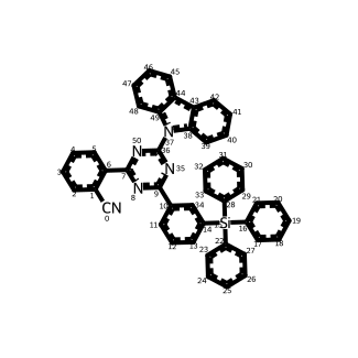 N#Cc1ccccc1-c1nc(-c2cccc([Si](c3ccccc3)(c3ccccc3)c3ccccc3)c2)nc(-n2c3ccccc3c3ccccc32)n1